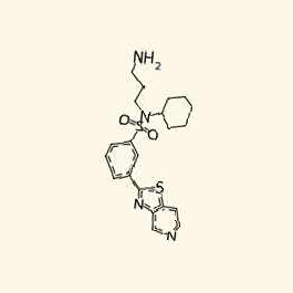 NCCCN(C1CCCCC1)S(=O)(=O)c1cccc(-c2nc3cnccc3s2)c1